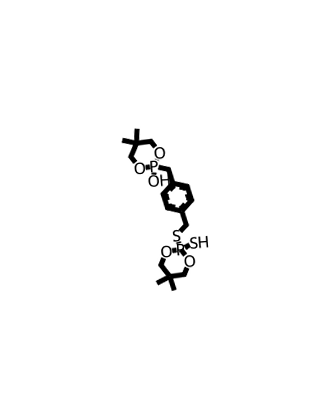 CC1(C)CO[P](O)(Cc2ccc(CS[P]3(S)OCC(C)(C)CO3)cc2)OC1